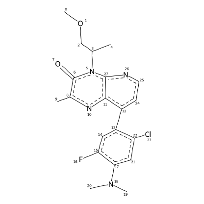 COCC(C)n1c(=O)c(C)nc2c(-c3cc(F)c(N(C)C)cc3Cl)ccnc21